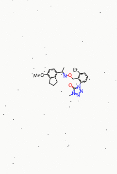 CCc1cccc(-n2nnn(C)c2=O)c1CON=C(C)c1ccc(OC)c2c1CCC2